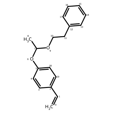 C=Cc1ccc(OC(C)OCCc2ccccc2)cc1